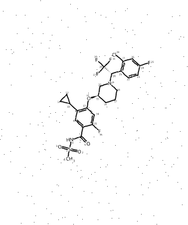 CS(=O)(=O)NC(=O)c1cc(C2CC2)c(O[C@@H]2CCCN([C@@H](c3ccc(F)cc3Cl)C(F)(F)F)C2)cc1F